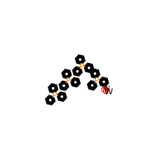 C1CCC(P(C2CCCCC2)C2CCCCC2)CC1.C1CCC(P(C2CCCCC2)C2CCCCC2)CC1.C1CCC(P(C2CCCCC2)C2CCCCC2)CC1.C1CCC(P(C2CCCCC2)C2CCCCC2)CC1.[C]=O.[C]=O.[W]